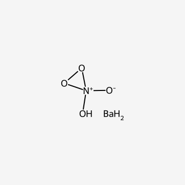 [BaH2].[O-][N+]1(O)OO1